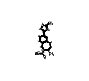 C[C@H]1COc2cc(-c3noc(C(F)(F)F)n3)ccc2CN1[S+]([O-])C(C)(C)C